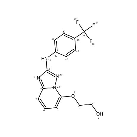 OCCOc1cccc2nc(Nc3ccc(C(F)(F)F)cc3)nn12